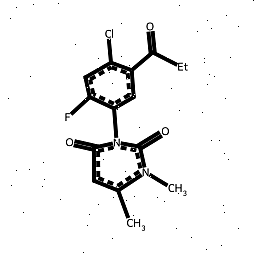 CCC(=O)c1cc(-n2c(=O)cc(C)n(C)c2=O)c(F)cc1Cl